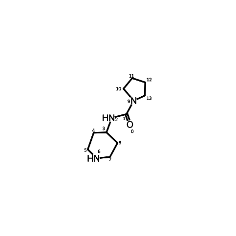 O=C(NC1CCNCC1)N1CCCC1